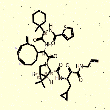 C=CCNC(=O)C(=O)C(CC1CC1)NC(=O)[C@@H]1[C@@H]2[C@H](CN1C(=O)[C@@H](NC(=O)[C@@H](NC(=O)c1cccs1)C1(C)CCCCC1)C1CC/C=C\C=C/C(=C)C1)C2(C)C